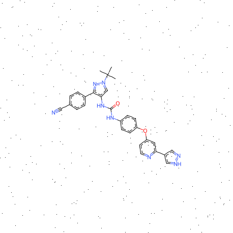 CC(C)(C)n1cc(NC(=O)Nc2ccc(Oc3ccnc(-c4cn[nH]c4)c3)cc2)c(-c2ccc(C#N)cc2)n1